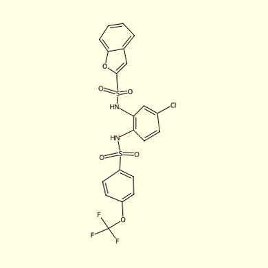 O=S(=O)(Nc1ccc(Cl)cc1NS(=O)(=O)c1cc2ccccc2o1)c1ccc(OC(F)(F)F)cc1